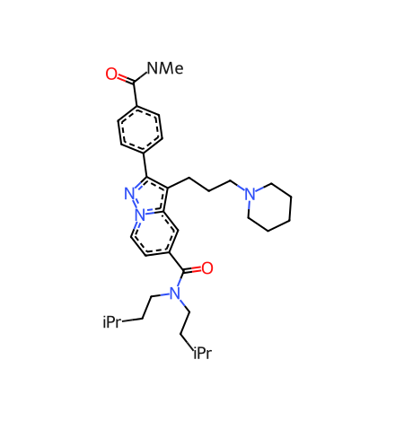 CNC(=O)c1ccc(-c2nn3ccc(C(=O)N(CCC(C)C)CCC(C)C)cc3c2CCCN2CCCCC2)cc1